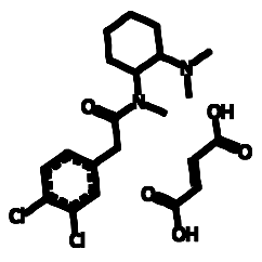 CN(C)C1CCCCC1N(C)C(=O)Cc1ccc(Cl)c(Cl)c1.O=C(O)C=CC(=O)O